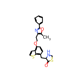 Cc1oc(-c2ccccc2)nc1CCOc1ccc(CC2NCSC2=O)c2sccc12